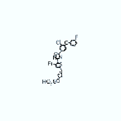 CCc1cc(CN2CC(OC(=O)O)C2)sc1-c1noc(-c2ccc(Oc3cccc(F)c3)c(Cl)c2)n1